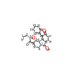 C/C=C\c1oc2c3c(ccc2c1C)C(=O)c1ccc2oc4ccccc4c2c1-3